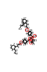 CCCC1CCCCC1CCCOc1ccc(C(=O)O[C@H](C)[C@@H](C)OC(=O)c2ccc(OCCCC3CCCCC3CCC)cc2)cc1